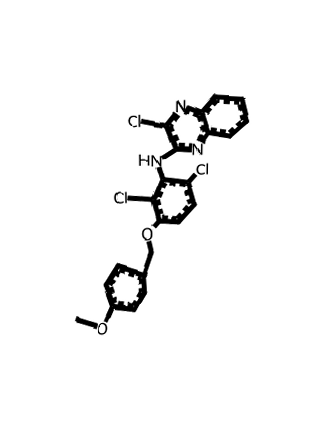 COc1ccc(COc2ccc(Cl)c(Nc3nc4ccccc4nc3Cl)c2Cl)cc1